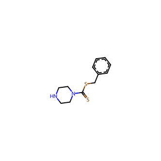 S=C(SCc1ccccc1)N1CCNCC1